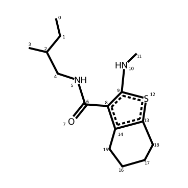 CCC(C)CNC(=O)c1c(NC)sc2c1CCCC2